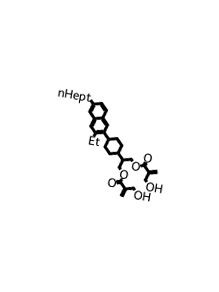 C=C(CO)C(=O)OCC(COC(=O)C(=C)CO)C1CCC(c2cc3ccc(CCCCCCC)cc3cc2CC)CC1